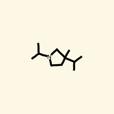 CC(C)N1CCC(C)(C(C)C)C1